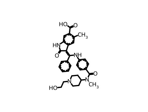 Cc1cc2c(cc1C(=O)O)NC(=O)/C2=C(/Nc1ccc(C(=O)N(C)C2CCN(CCO)CC2)cc1)c1ccccc1